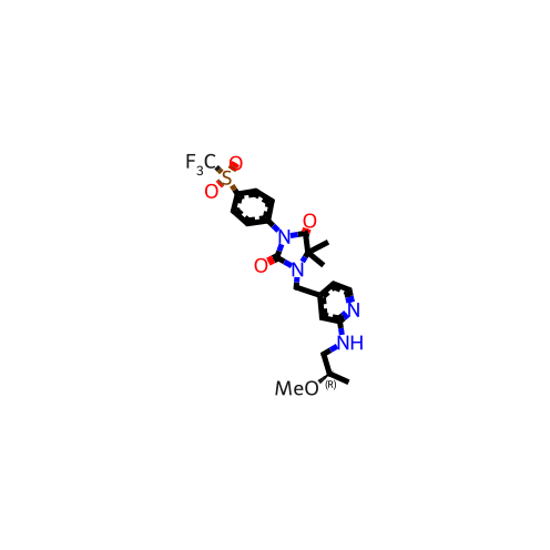 CO[C@H](C)CNc1cc(CN2C(=O)N(c3ccc(S(=O)(=O)C(F)(F)F)cc3)C(=O)C2(C)C)ccn1